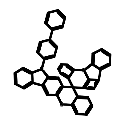 c1ccc(-c2ccc(-n3c4ccccc4c4cc5c(cc43)C3(c4ccccc4S5)c4ccccc4-n4c5ccccc5c5cccc3c54)cc2)cc1